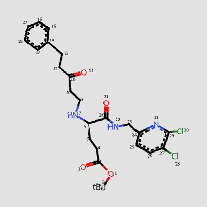 CC(C)(C)OC(=O)CC[C@@H](NCCC(=O)CCc1ccccc1)C(=O)NCc1ccc(Cl)c(Cl)n1